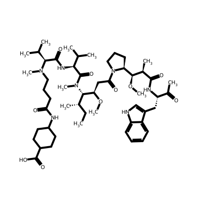 CC[C@H](C)[C@@H]([C@@H](CC(=O)N1CCC[C@H]1[C@H](OC)[C@@H](C)C(=O)N[C@@H](Cc1c[nH]c2ccccc12)C(C)=O)OC)N(C)C(=O)[C@@H](NC(=O)[C@H](C(C)C)N(C)CCCC(=O)NC1CCC(C(=O)O)CC1)C(C)C